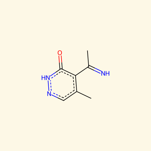 CC(=N)c1c(C)cn[nH]c1=O